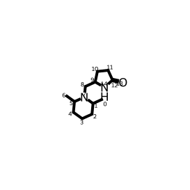 CC1CCCC(C)N1CC1CCC(=O)N1